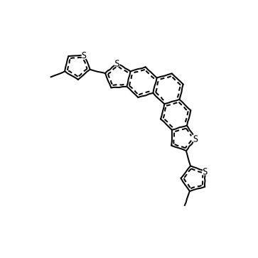 Cc1csc(-c2cc3cc4c(ccc5cc6sc(-c7cc(C)cs7)cc6cc54)cc3s2)c1